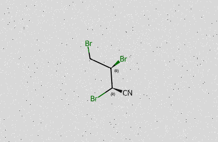 N#C[C@@H](Br)[C@H](Br)CBr